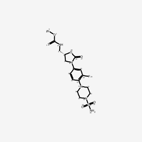 CC(C)OC(=S)NC[C@H]1CN(c2ccc(N3CCN(S(N)(=O)=O)CC3)c(F)c2)C(=O)O1